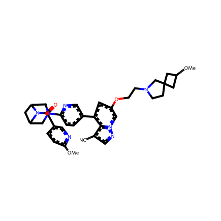 COc1ccc(C(=O)N2C3CC2CN(c2ccc(-c4cc(OCCN5CCC6(CC(OC)C6)C5)cn5ncc(C#N)c45)cn2)C3)cn1